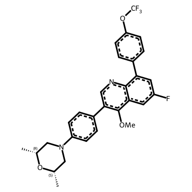 COc1c(-c2ccc(N3C[C@@H](C)O[C@@H](C)C3)cc2)cnc2c(-c3ccc(OC(F)(F)F)cc3)cc(F)cc12